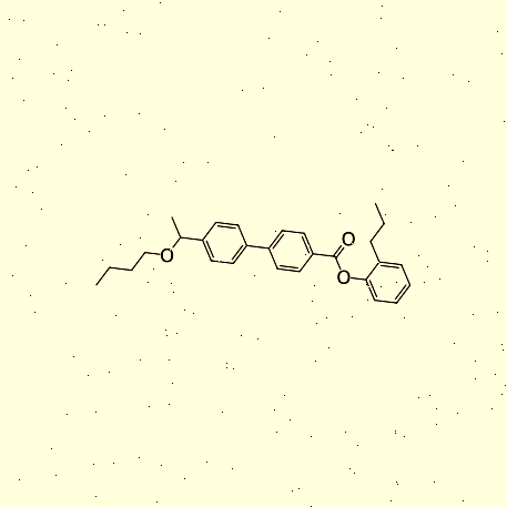 CCCCOC(C)c1ccc(-c2ccc(C(=O)Oc3ccccc3CCC)cc2)cc1